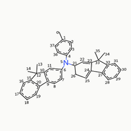 Cc1ccc(N(c2ccc3c(c2)C(C)(C)c2ccccc2-3)C2C=C3C(=CC2)c2ccccc2C3(C)C)cc1